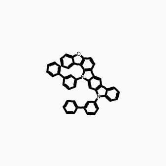 c1ccc(-c2cccc(-n3c4ccccc4c4cc5c6ccc7oc8ccccc8c7c6n(-c6cccc(-c7ccccc7)c6)c5cc43)c2)cc1